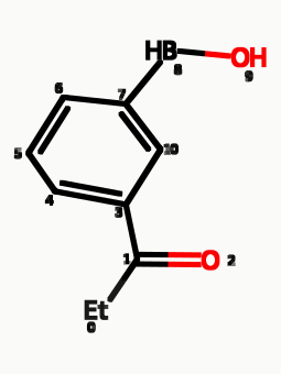 CCC(=O)c1cccc(BO)c1